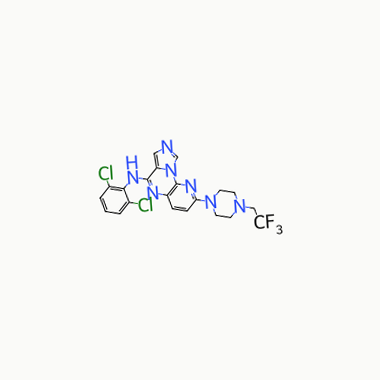 FC(F)(F)CN1CCN(c2ccc3nc(Nc4c(Cl)cccc4Cl)c4cncn4c3n2)CC1